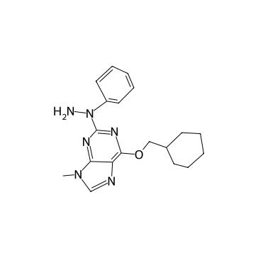 Cn1cnc2c(OCC3CCCCC3)nc(N(N)c3ccccc3)nc21